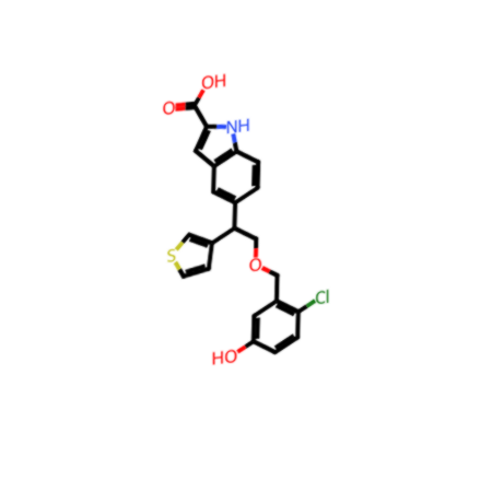 O=C(O)c1cc2cc(C(COCc3cc(O)ccc3Cl)c3ccsc3)ccc2[nH]1